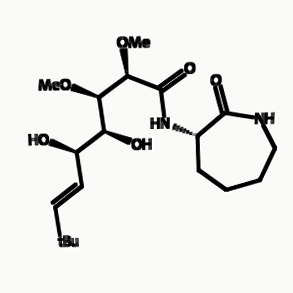 CO[C@H]([C@@H](O)[C@H](O)/C=C/C(C)(C)C)[C@@H](OC)C(=O)N[C@H]1CCCCNC1=O